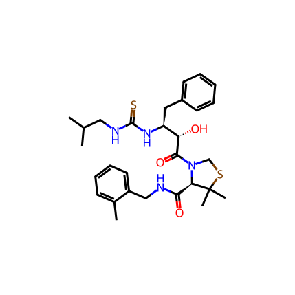 Cc1ccccc1CNC(=O)[C@H]1N(C(=O)[C@@H](O)[C@H](Cc2ccccc2)NC(=S)NCC(C)C)CSC1(C)C